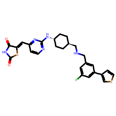 O=C1NC(=O)/C(=C/c2ccnc(N[C@H]3CC[C@H](CNCc4cc(F)cc(-c5ccsc5)c4)CC3)n2)S1